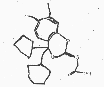 Cc1cc2c(cc1Cl)C(C1CCCCC1)(C1CCCCC1)OC(OC(=O)O)O2